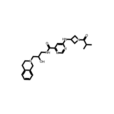 CC(C)C(=O)N1CC(Nc2cc(C(=O)NCC(O)CN3CCc4ccccc4C3)ncn2)C1